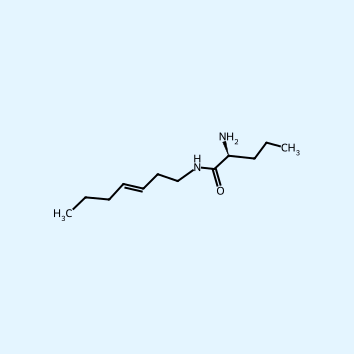 CCCC=CCCNC(=O)[C@@H](N)CCC